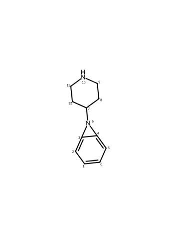 c1ccc2c(c1)N2C1CCNCC1